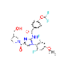 COc1cc(F)c(-n2cc(C(=O)N3CCC(CO)C3)nc2NC(=O)c2ccc(OC(F)F)cc2)c(F)c1